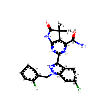 CC1(C)C(=O)Nc2nc(-c3nn(Cc4ccccc4F)c4cc(Cl)ccc34)nc(C(N)=O)c21